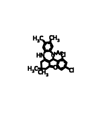 CC(=O)N1c2cc(C)c(C)cc2NC2=C(C(=O)CC(C)(C)C2)C1c1ccc(Cl)cc1Cl